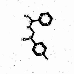 C[C@H](NC[C@H](O)c1ccc(F)cc1)c1ccccc1